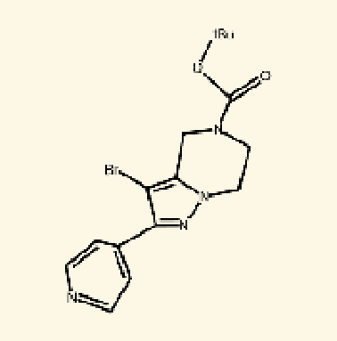 CC(C)(C)OC(=O)N1CCn2nc(-c3ccncc3)c(Br)c2C1